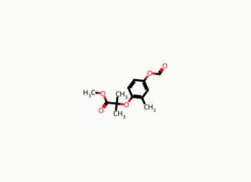 COC(=O)C(C)(C)Oc1ccc(OC=O)cc1C